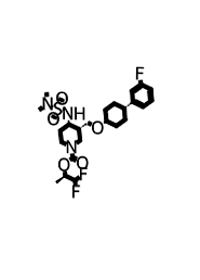 C[C@@H](OC(=O)N1CC[C@H](NS(=O)(=O)N(C)C)[C@H](CO[C@H]2CC[C@@H](c3cccc(F)c3)CC2)C1)C(F)F